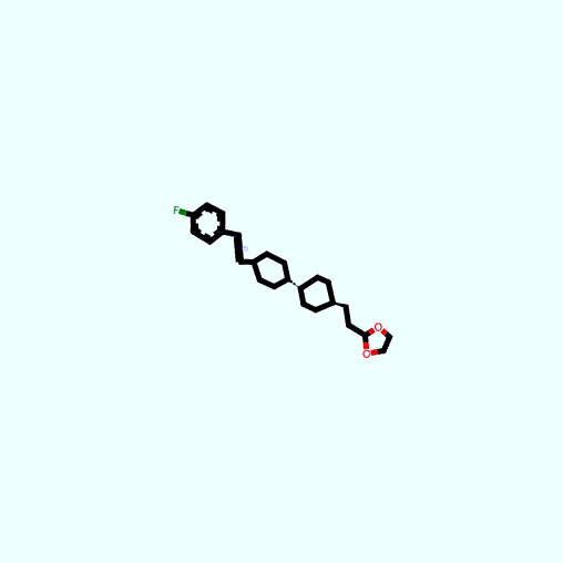 Fc1ccc(/C=C/C2CCC([C@H]3CC[C@H](CCC4OCCO4)CC3)CC2)cc1